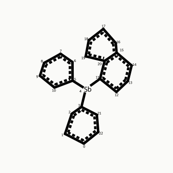 c1cc[c]([Sb]([c]2ccccc2)[c]2cccc3ccccc23)cc1